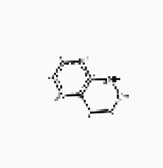 C1=Cc2nccnc2NO1